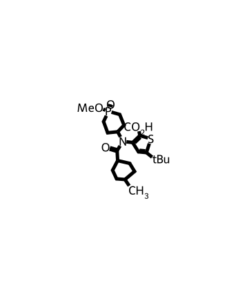 COP1(=O)CCC(N(C(=O)C2CCC(C)CC2)c2cc(C(C)(C)C)sc2C(=O)O)CC1